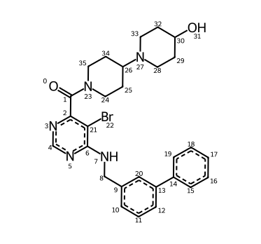 O=C(c1ncnc(NCc2cccc(-c3ccccc3)c2)c1Br)N1CCC(N2CCC(O)CC2)CC1